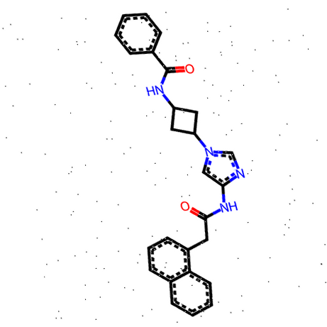 O=C(Cc1cccc2ccccc12)Nc1cn(C2CC(NC(=O)c3ccccc3)C2)cn1